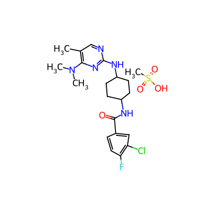 CS(=O)(=O)O.Cc1cnc(NC2CCC(NC(=O)c3ccc(F)c(Cl)c3)CC2)nc1N(C)C